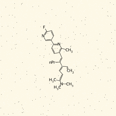 C=CC(=C\C=C(/C)N(C)C)/C(=C/c1ccc(-c2ccc(F)nc2)nc1C)CCC